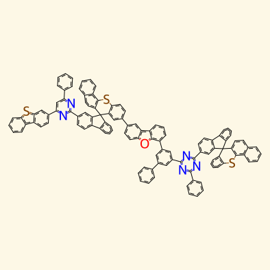 c1ccc(-c2cc(-c3nc(-c4ccccc4)nc(-c4ccc5c(c4)C4(c6ccccc6Sc6c4ccc4ccccc64)c4ccccc4-5)n3)cc(-c3cccc4c3oc3ccc(-c5ccc6c(c5)C5(c7ccccc7-c7ccc(-c8nc(-c9ccccc9)cc(-c9ccc%10c(c9)sc9ccccc9%10)n8)cc75)c5ccc7ccccc7c5S6)cc34)c2)cc1